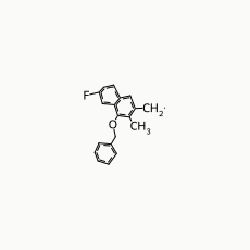 [CH2]c1cc2ccc(F)cc2c(OCc2ccccc2)c1C